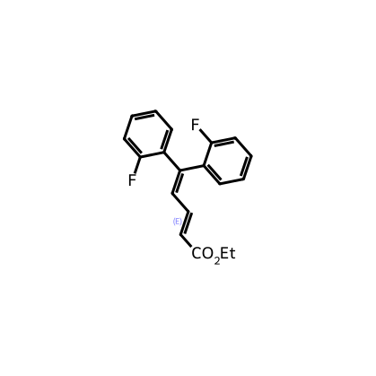 CCOC(=O)/C=C/C=C(c1ccccc1F)c1ccccc1F